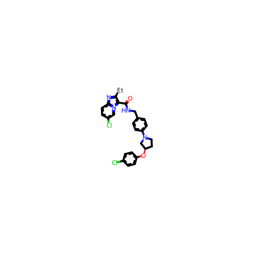 CCc1nc2ccc(Cl)cn2c1C(=O)NCc1ccc(N2CC[C@@H](Oc3ccc(Cl)cc3)C2)cc1